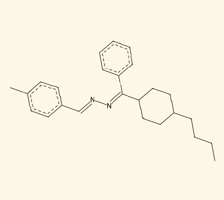 CCCCC1CCC(C(=NN=Cc2ccc(C)cc2)c2ccccc2)CC1